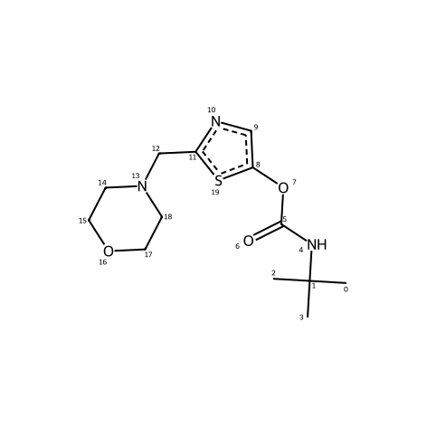 CC(C)(C)NC(=O)Oc1cnc(CN2CCOCC2)s1